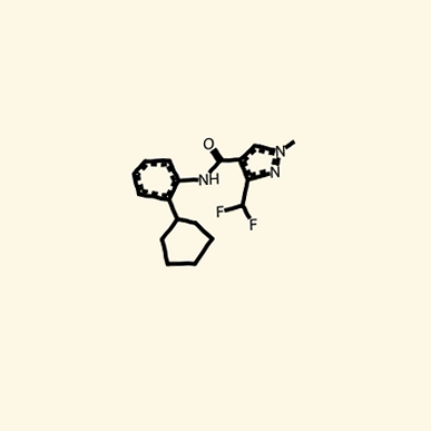 Cn1cc(C(=O)Nc2ccccc2C2CCCCC2)c(C(F)F)n1